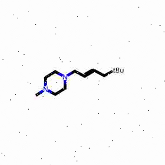 CN1CCN(C/C=C/CC(C)(C)C)CC1